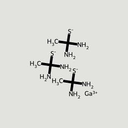 CC(N)(N)[S-].CC(N)(N)[S-].CC(N)(N)[S-].[Ga+3]